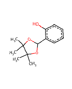 CC1(C)OC(c2ccccc2O)OC1(C)C